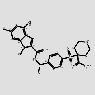 COC(=O)C1(S(=O)(=O)c2ccc([C@@H](C)NC(=O)c3cc4c(Cl)cc(C)cc4n3C)cc2)CCOCC1